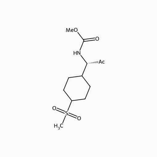 COC(=O)N[C@H](C(C)=O)C1CCC(S(C)(=O)=O)CC1